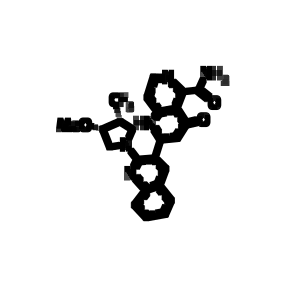 CO[C@H]1CN(c2nc3ccccc3cc2-c2cc(=O)c3c(C(N)=O)nccc3[nH]2)C[C@H]1C(F)(F)F